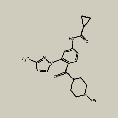 CCCN1CCN(C(=O)c2ccc(NC(=O)C3CC3)cc2-n2ccc(C(F)(F)F)n2)CC1